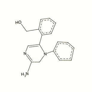 NC1=NC=C(c2ccccc2CO)N(c2ccccc2)C1